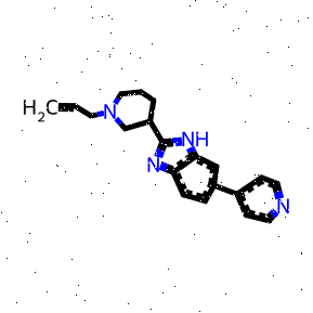 C=CCN1CCCC(c2nc3ccc(-c4ccncc4)cc3[nH]2)C1